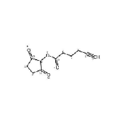 C#CCCCC(=O)OC1C(=O)CCC1=O